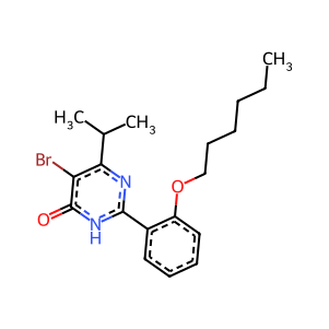 CCCCCCOc1ccccc1-c1nc(C(C)C)c(Br)c(=O)[nH]1